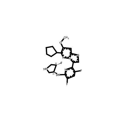 COc1cc2ncc(-c3nc(N[C@H]4CNC[C@@H]4F)c(F)cc3F)n2nc1C1CCCC1